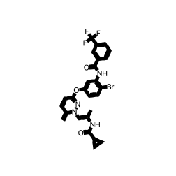 C=C1C=CC(Oc2ccc(Br)c(NC(=O)c3cccc(C(F)(F)F)c3)c2)=NN1/C=C(\C)NC(=O)C1CC1